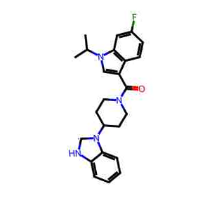 CC(C)n1cc(C(=O)N2CCC(N3[CH]Nc4ccccc43)CC2)c2ccc(F)cc21